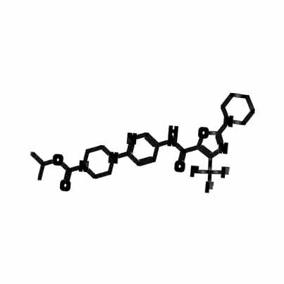 CC(C)OC(=O)N1CCN(c2ccc(NC(=O)c3oc(N4CCCCC4)nc3C(F)(F)F)cn2)CC1